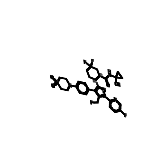 N#CC1(NC(=O)[C@@H]2CC(F)(F)CC[C@H]2c2nn(-c3ccc(F)cn3)c(CF)c2-c2ccc(N3CCS(=O)(=O)CC3)cc2)CC1